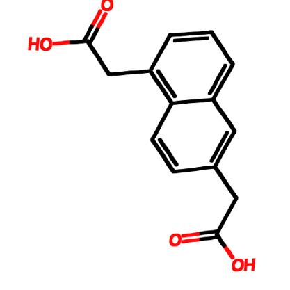 O=C(O)Cc1ccc2c(CC(=O)O)cccc2c1